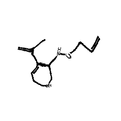 C=CCONC1CNCC=C1C(=C)C